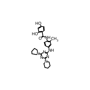 Cc1cc(Nc2nc(N3CCCCC3)nc(N3CCCCC3)n2)ccc1NC(=O)c1ccc(O)cc1O